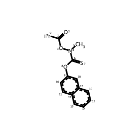 CC(C)C(=O)ON(C)C(=S)Oc1ccc2ccccc2c1